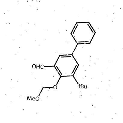 COCOc1c(C=O)cc(-c2ccccc2)cc1C(C)(C)C